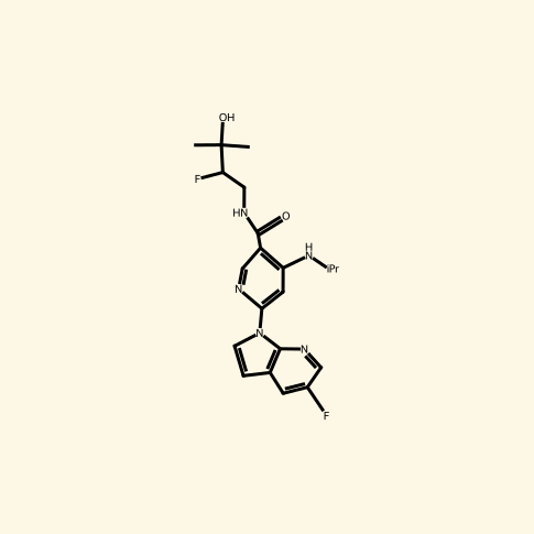 CC(C)Nc1cc(-n2ccc3cc(F)cnc32)ncc1C(=O)NCC(F)C(C)(C)O